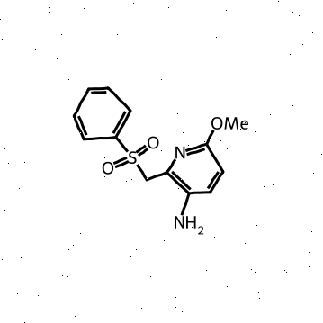 COc1ccc(N)c(CS(=O)(=O)c2ccccc2)n1